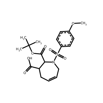 COc1ccc(S(=O)(=O)N2CC=CCC(C(=O)O)C2C(=O)OC(C)(C)C)cc1